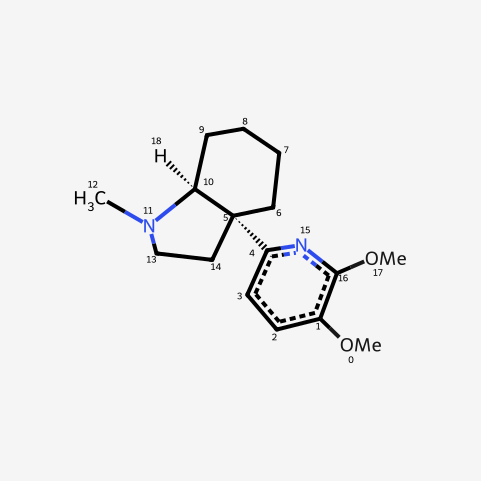 COc1ccc([C@@]23CCCC[C@@H]2N(C)CC3)nc1OC